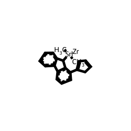 [CH3][Sn]([CH3])([Zr])[CH]1c2ccccc2-c2cccc(C3=CC=CC3)c21